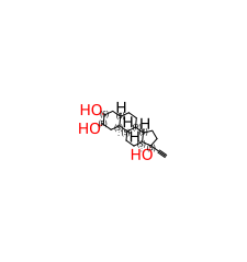 C#C[C@]1(O)CC[C@H]2[C@@H]3CC[C@H]4C[C@H](O)[C@H](O)C[C@]4(C)[C@H]3CC[C@@]21C